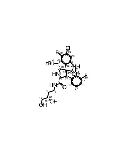 CC(C)(C)C[C@H]1N[C@@H](C(=O)NCC[C@H](O)CO)[C@H](c2cccc(F)c2F)[C@@]12C(=O)Nc1cc(Cl)c(F)cc12